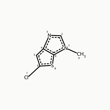 Cn1cnc2cc(Cl)sc21